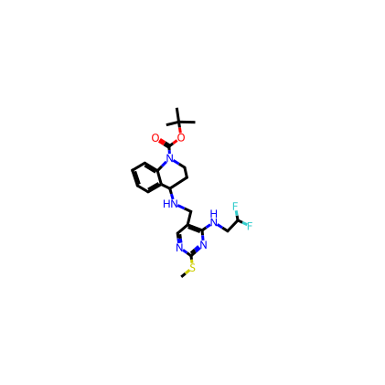 CSc1ncc(CNC2CCN(C(=O)OC(C)(C)C)c3ccccc32)c(NCC(F)F)n1